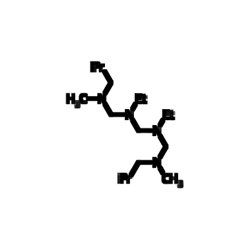 CCN(CN(C)CC(C)C)CN(CC)CN(C)CC(C)C